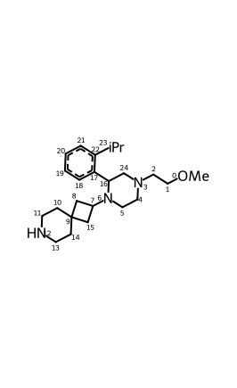 COCCN1CCN(C2CC3(CCNCC3)C2)C(c2ccccc2C(C)C)C1